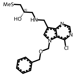 CSC[C@@H](O)CNCc1cn(COCc2ccccc2)c2c(Cl)ncnc12